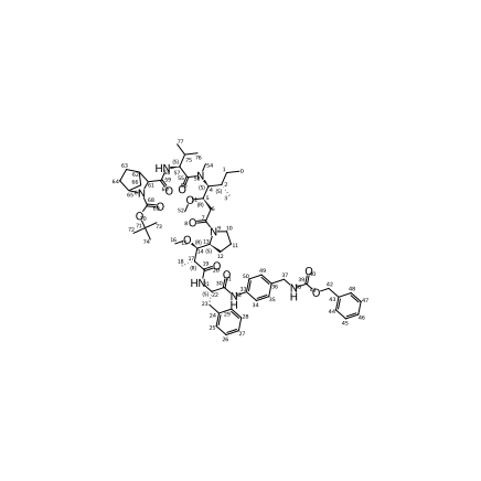 CC[C@H](C)[C@@H]([C@@H](CC(=O)N1CCC[C@H]1[C@H](OC)[C@@H](C)C(=O)N[C@@H](Cc1ccccc1)C(=O)Nc1ccc(CNC(=O)OCc2ccccc2)cc1)OC)N(C)C(=O)[C@@H](NC(=O)C1C2CCC(C2)N1C(=O)OC(C)(C)C)C(C)C